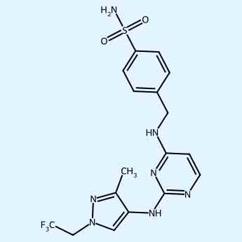 Cc1nn(CC(F)(F)F)cc1Nc1nccc(NCc2ccc(S(N)(=O)=O)cc2)n1